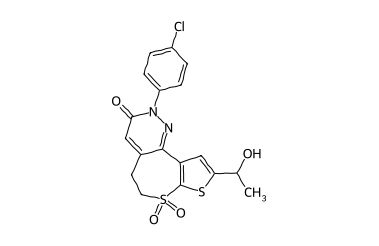 CC(O)c1cc2c(s1)S(=O)(=O)CCc1cc(=O)n(-c3ccc(Cl)cc3)nc1-2